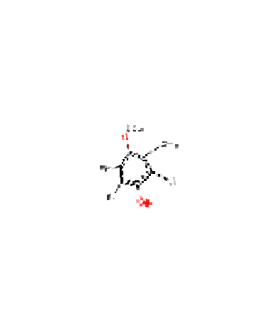 CCCCOc1c(C)c(CC)c(O)c(CC)c1CC